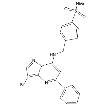 CNS(=O)(=O)c1ccc(CNc2cc(-c3ccccc3)nc3c(Br)cnn23)cc1